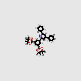 CC1(C)OB(c2cc(B3OC(C)(C)C(C)(C)O3)cc(-c3cc(-c4ccccc4)cc(-c4ccccc4)n3)c2)OC1(C)C